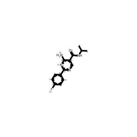 CC(C)NC(=O)c1cnc(-c2ccc(F)cc2)nc1N